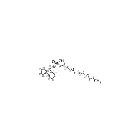 CCCOCCOCCOCCOCCN(C)C(=O)OCC1c2ccccc2-c2ccccc21